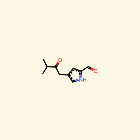 CC(C)C(=O)Cc1c[nH]c(C=O)c1